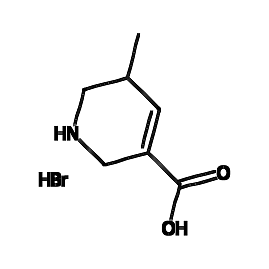 Br.CC1C=C(C(=O)O)CNC1